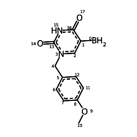 Bc1cn(Cc2ccc(OC)cc2)c(=O)[nH]c1=O